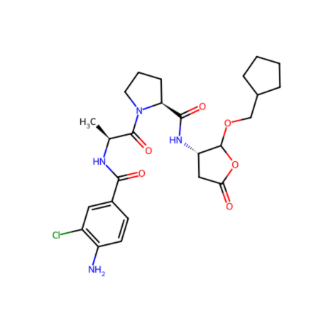 C[C@H](NC(=O)c1ccc(N)c(Cl)c1)C(=O)N1CCC[C@H]1C(=O)N[C@H]1CC(=O)OC1OCC1CCCC1